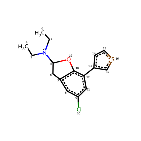 CCN(CC)C1Cc2cc(Cl)cc(-c3ccsc3)c2O1